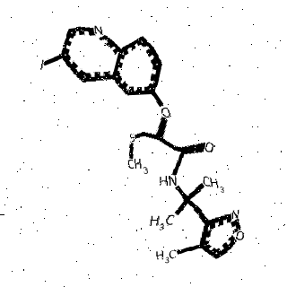 CSC(Oc1ccc2ncc(I)cc2c1)C(=O)NC(C)(C)c1nocc1C